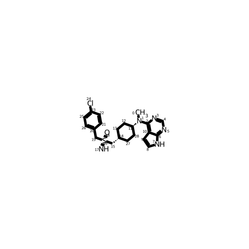 CN(c1ncnc2[nH]ccc12)[C@H]1CC[C@@H](CS(=N)(=O)Cc2ccc(Cl)cc2)CC1